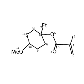 C=C(C)C(=O)OC1(CC)CCC(OC)SC1